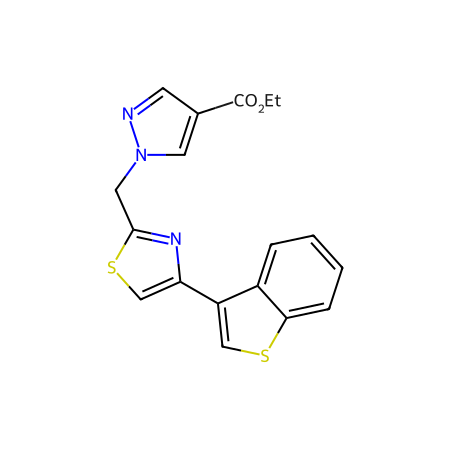 CCOC(=O)c1cnn(Cc2nc(-c3csc4ccccc34)cs2)c1